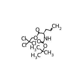 C=CC[C@@H](NC(=O)OC(C)(C)C)C(=O)OCC(Cl)(Cl)Cl